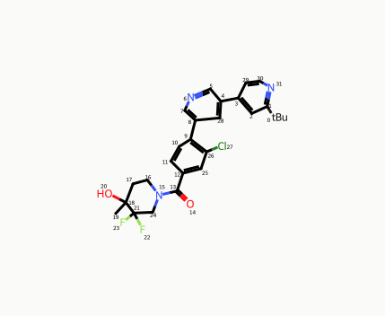 CC(C)(C)c1cc(-c2cncc(-c3ccc(C(=O)N4CCC(C)(O)C(F)(F)C4)cc3Cl)c2)ccn1